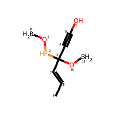 BOPC(C#CO)(C=CC)OB